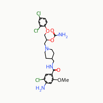 COc1cc(N)c(Cl)cc1C(=O)NCC1CCN(CC(COc2ccc(Cl)cc2Cl)OC(N)=O)CC1